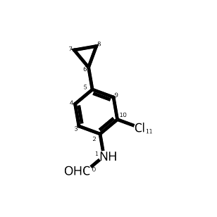 O=CNc1ccc(C2CC2)cc1Cl